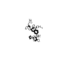 CC(=O)COc1cc2cc(Nc3nc(N4CCC4)ncc3Cl)ccc2n(C)c1=O